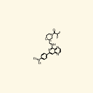 CCN(CC)c1ccc(-c2cc3nccnc3c(NC[C@@H]3CN(C(=O)C(F)F)CCO3)n2)cc1